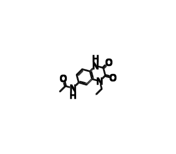 CCn1c(=O)c(=O)[nH]c2ccc(NC(C)=O)cc21